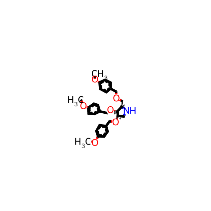 COc1ccc(COC[C@H]2NC[C@@H](OCc3ccc(OC)cc3)[C@@H]2OCc2ccc(OC)cc2)cc1